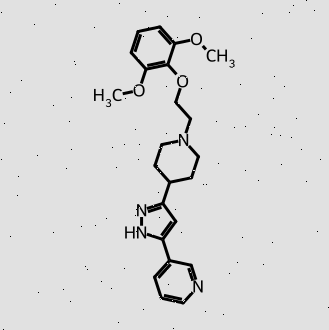 COc1cccc(OC)c1OCCN1CCC(c2cc(-c3cccnc3)[nH]n2)CC1